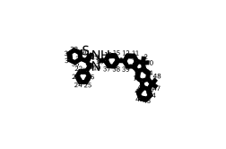 CC1(C)C2=CC3C(C=C2C2=C1C=CC(c1ccc(C4N=C(c5ccccc5)C5=C(N4)SC4CC=CCC54)cc1)C2)c1ccccc1C3(C)C